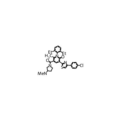 CCc1cccc(CC)c1-n1c(C)c(C(=O)N2CCC(NC)C2)cc(-c2nc(-c3ccc(Cl)cc3)cs2)c1=O